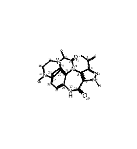 CC(C)c1nn(C)c2c1N(C(=O)C(C)N1CCN(C)CC1)c1ccccc1NC2=O